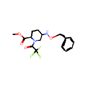 COC(=O)C1CCC(NOCc2ccccc2)CN1C(=O)C(F)(F)F